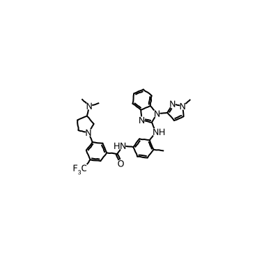 Cc1ccc(NC(=O)c2cc(N3CCC(N(C)C)C3)cc(C(F)(F)F)c2)cc1Nc1nc2ccccc2n1-c1ccn(C)n1